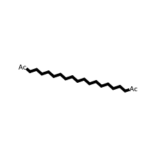 CC(=O)CCCCCCCCCCCCCCCCCC(C)=O